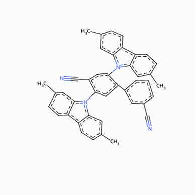 Cc1ccc2c3ccc(C)cc3n(-c3cc(-c4cccc(C#N)c4)c(-n4c5cc(C)ccc5c5ccc(C)cc54)cc3C#N)c2c1